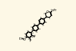 CCCC1=CCC(c2ccc(-c3ccc(-c4ccc(OCC)c(F)c4F)cc3)cc2)CO1